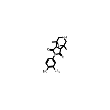 CC12CNCC(C)(O1)C1C(=O)N(c3ccc(C#N)c(C(F)(F)F)c3)C(=O)C12